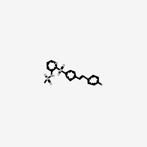 CS(=O)(=O)Nc1cccnc1S(=O)(=O)c1ccc(/C=C/c2ccc(F)cc2)cc1